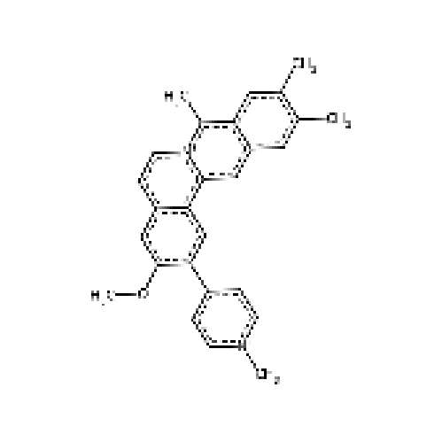 COc1cc2cc[n+]3c(C)c4cc(C)c(C)cc4cc3c2cc1-c1cc[n+](C)cc1